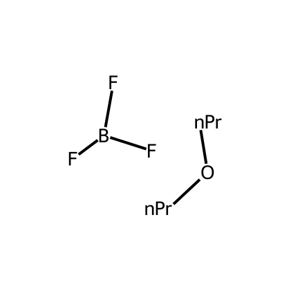 CCCOCCC.FB(F)F